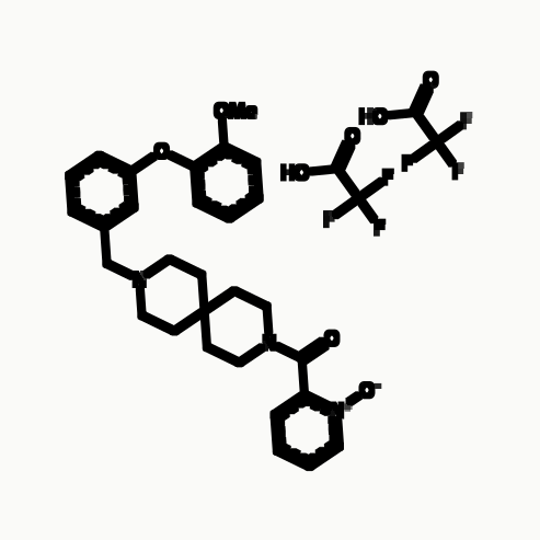 COc1ccccc1Oc1cccc(CN2CCC3(CC2)CCN(C(=O)c2cccc[n+]2[O-])CC3)c1.O=C(O)C(F)(F)F.O=C(O)C(F)(F)F